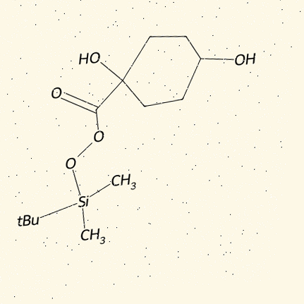 CC(C)(C)[Si](C)(C)OOC(=O)C1(O)CCC(O)CC1